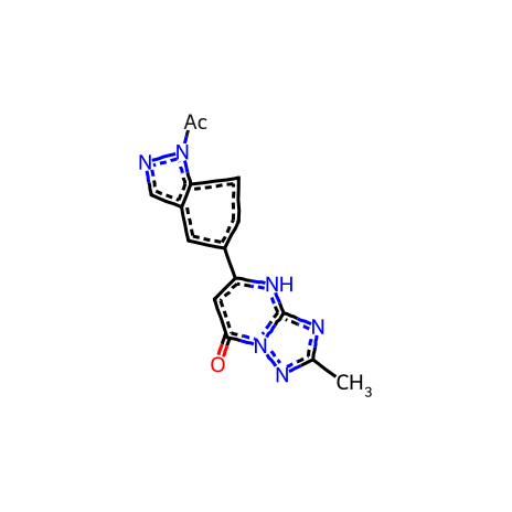 CC(=O)n1ncc2cc(-c3cc(=O)n4nc(C)nc4[nH]3)ccc21